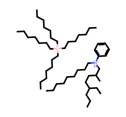 CCCCCCCCC[NH+](CC(C)CCC(CC)CCC)c1ccccc1.CCCCCCC[B-](CCCCCCC)(CCCCCCC)CCCCCCC